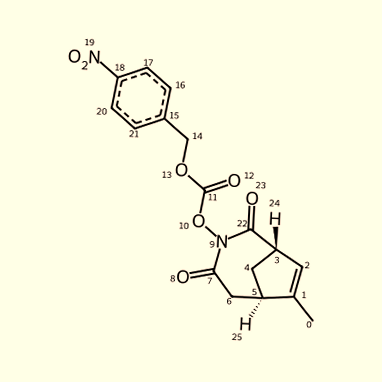 CC1=C[C@@H]2C[C@@H]1CC(=O)N(OC(=O)OCc1ccc([N+](=O)[O-])cc1)C2=O